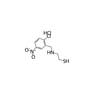 Cl.O=[N+]([O-])c1ccc(Cl)c(CNCCS)c1